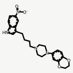 O=[N+]([O-])c1ccc2[nH]cc(CCCCN3CCN(c4ccc5c(c4)OCCO5)CC3)c2c1